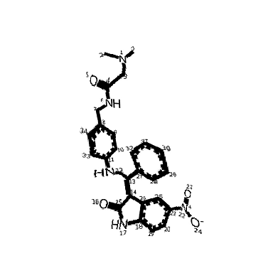 CN(C)CC(=O)NCc1ccc(N/C(=C2\C(=O)Nc3ccc([N+](=O)[O-])cc32)c2ccccc2)cc1